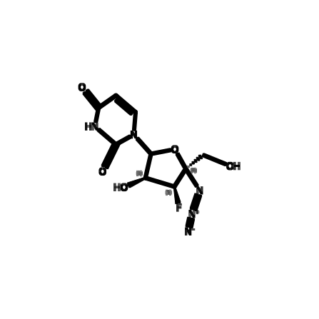 [N-]=[N+]=N[C@]1(CO)OC(n2ccc(=O)[nH]c2=O)[C@H](O)[C@@H]1F